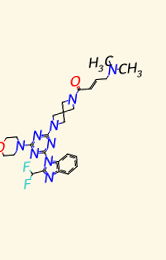 CN(C)C/C=C/C(=O)N1CC2(C1)CN(c1nc(N3CCOCC3)nc(-n3c(C(F)F)nc4ccccc43)n1)C2